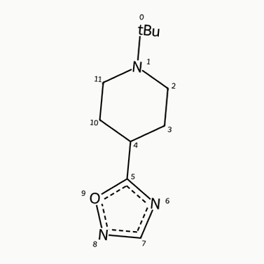 CC(C)(C)N1CCC(c2ncno2)CC1